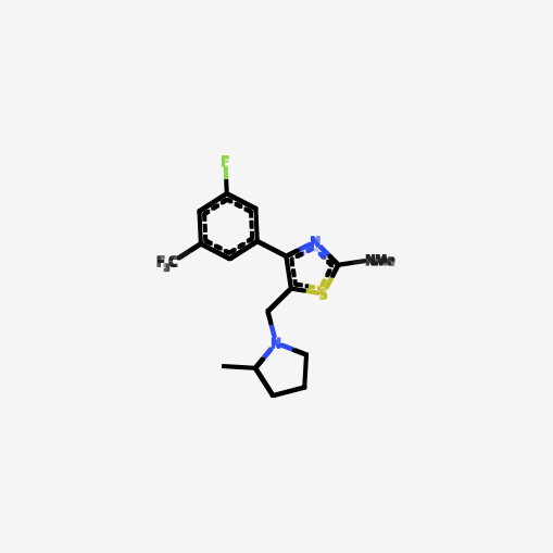 CNc1nc(-c2cc(F)cc(C(F)(F)F)c2)c(CN2CCCC2C)s1